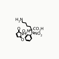 NCCCC[C@@](C(=O)O)(N(c1ccccc1)[N+](=O)[O-])[N+](=O)[O-].O=C1C=CC(=O)N1